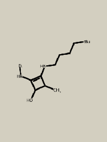 CCNC1=C(NCCCCC(C)(C)C)C(C)C1O